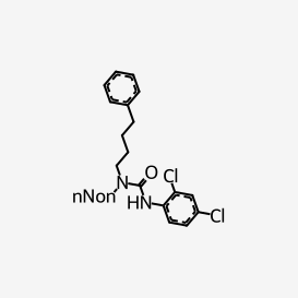 CCCCCCCCCN(CCCCc1ccccc1)C(=O)Nc1ccc(Cl)cc1Cl